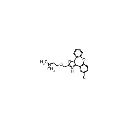 CN(C)CCOCc1nc2c([nH]1)-c1cc(Cl)ccc1Oc1ccccc1-2